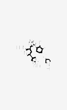 CCCn1cc(-c2cnc(N)c(-c3nnnn3-c3ccc(OC[C@@H]4CCNC4)c(F)c3F)c2)cn1